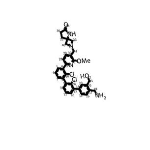 COc1nc(-c2cccc(-c3cccc(-c4ccc(CN)c(CO)c4)c3Cl)c2Cl)ccc1CN1CC2(CCC(=O)N2)C1